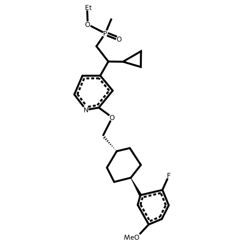 CCOP(C)(=O)CC(c1ccnc(OC[C@H]2CC[C@H](c3cc(OC)ccc3F)CC2)c1)C1CC1